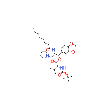 CCCCCCCC(=O)N[C@H](CN1CCCC1)[C@H](OC(=O)[C@H](NC(=O)OC(C)(C)C)C(C)C)c1ccc2c(c1)OCCO2